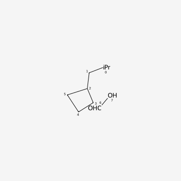 CC(C)CC1CCC1.O=CO